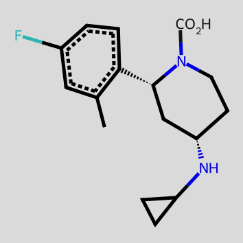 Cc1cc(F)ccc1[C@H]1C[C@@H](NC2CC2)CCN1C(=O)O